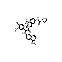 CCOc1cc(C(Nc2ccc3c(N)nccc3c2)C(=O)NCc2cc(NC(=O)N3CCCC3)ccc2S(C)(=O)=O)ccc1Cl